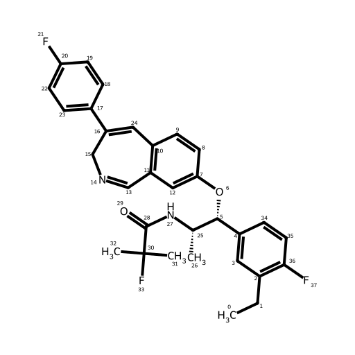 CCc1cc([C@@H](Oc2ccc3c(c2)C=NCC(c2ccc(F)cc2)=C3)[C@H](C)NC(=O)C(C)(C)F)ccc1F